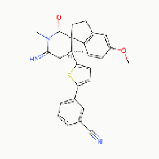 COc1ccc2c(c1)CCC21C(=O)N(C)C(=N)C[C@]1(C)c1ccc(-c2cccc(C#N)c2)s1